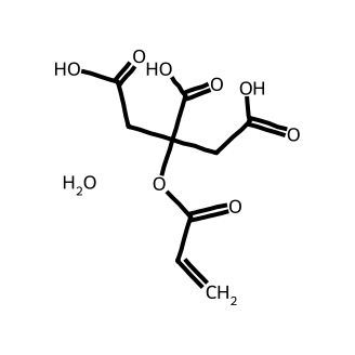 C=CC(=O)OC(CC(=O)O)(CC(=O)O)C(=O)O.O